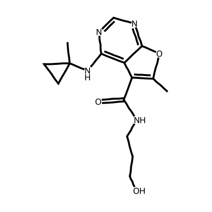 Cc1oc2ncnc(NC3(C)CC3)c2c1C(=O)NCCCO